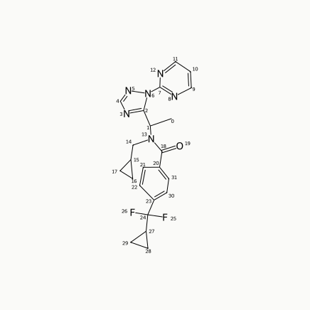 CC(c1ncnn1-c1ncccn1)N(CC1CC1)C(=O)c1ccc(C(F)(F)C2CC2)cc1